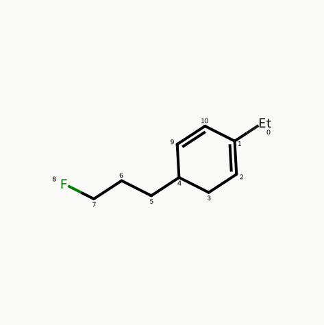 CCC1=CCC(CCCF)C=C1